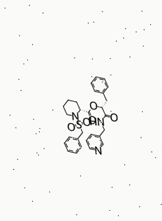 O=C(O[C@H](Cc1ccccc1)C(=O)NCc1cccnc1)[C@H]1CCCCN1S(=O)(=O)Cc1ccccc1